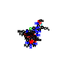 C=C(C[C@@H](OC)[C@H]([C@@H](C)CC)N(C)C(=O)[C@@H](NC(=O)[C@H](C(C)C)N(C)C(=O)OCc1ccc(NC(=O)[C@H](C)NC(=O)[C@@H](NC(=O)CCOCCC(=O)NCCNc2ncc(-c3cc(C)cc(F)c3)c(N3CCC(NC(=O)OC(C)(C)C)CC3)c2-c2nc3ccc(Cl)cc3[nH]2)C(C)C)c(O[C@@H]2O[C@H](C(=O)OC)[C@@H](OC(C)=O)[C@H](OC(C)=O)[C@H]2OC(C)=O)c1)C(C)C)N1CCC[C@H]1[C@H](OC)[C@@H](C)C(=O)N[C@H](C)[C@@H](O)c1ccccc1